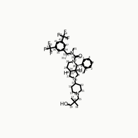 Cc1ccccc1[C@H]1[C@@H]2CN(C3CCN(CC(C)(C)CO)CC3)C[C@H]2CCN1C(=O)N(C)[C@H](C)c1cc(C(F)(F)F)cc(C(F)(F)F)c1